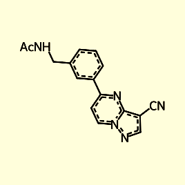 CC(=O)NCc1cccc(-c2ccn3ncc(C#N)c3n2)c1